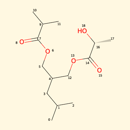 CC(C)CC(COC(=O)C(C)C)COC(=O)[C@@H](C)O